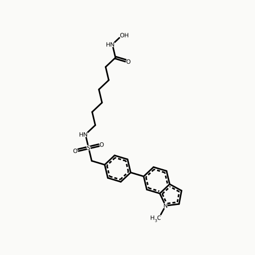 Cn1ccc2ccc(-c3ccc(CS(=O)(=O)NCCCCCCC(=O)NO)cc3)cc21